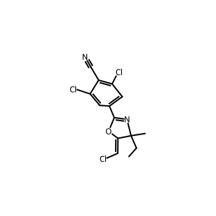 CCC1(C)N=C(c2cc(Cl)c(C#N)c(Cl)c2)OC1=CCl